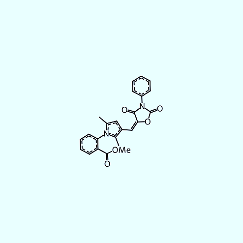 COC(=O)c1ccccc1-n1c(C)cc(/C=C2/OC(=O)N(c3ccccc3)C2=O)c1C